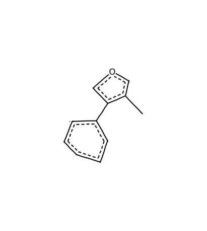 Cc1cocc1-c1[c]cccc1